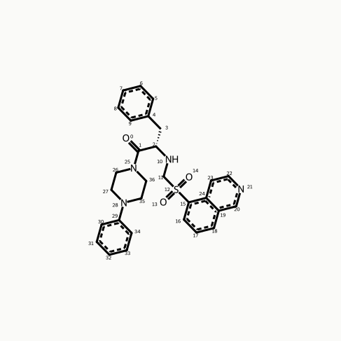 O=C([C@H](Cc1cc[c]cc1)NCS(=O)(=O)c1cccc2cnccc12)N1CCN(c2ccccc2)CC1